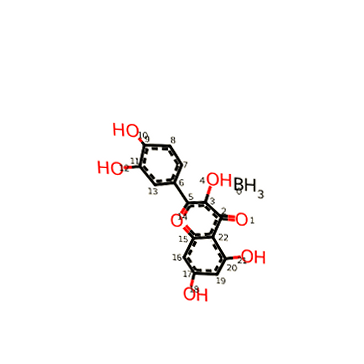 B.O=c1c(O)c(-c2ccc(O)c(O)c2)oc2cc(O)cc(O)c12